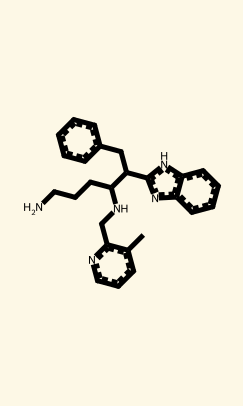 Cc1cccnc1CNC(CCCN)C(Cc1ccccc1)c1nc2ccccc2[nH]1